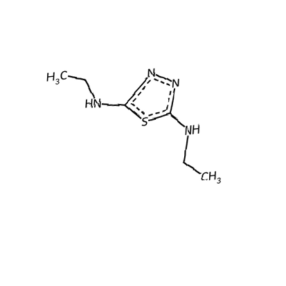 CCNc1nnc(NCC)s1